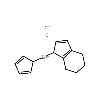 C1=C[CH]([Zr+2][CH]2C=CC3=C2CCCC3)C=C1.[Cl-].[Cl-]